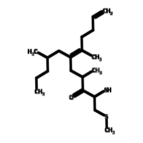 C=CCC/C(C)=C(\CC(C)CCC)CC(C)C(=O)C(S)CSC